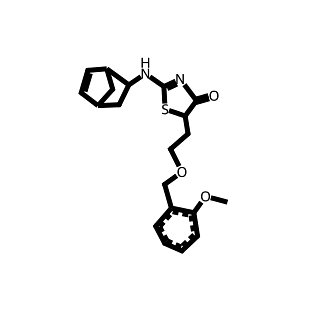 COc1ccccc1COCCC1SC(NC2CC3C=CC2C3)=NC1=O